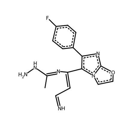 C/C(=N\C(=C/C=N)c1c(-c2ccc(F)cc2)nc2occn12)NN